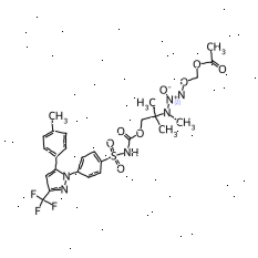 CC(=O)OCO/N=[N+](\[O-])N(C)C(C)(C)COC(=O)NS(=O)(=O)c1ccc(-n2nc(C(F)(F)F)cc2-c2ccc(C)cc2)cc1